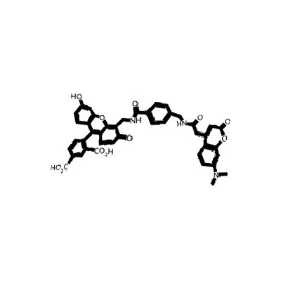 CN(C)c1ccc2c(CC(=O)NCc3ccc(C(=O)NCc4c5oc6cc(O)ccc6c(-c6ccc(C(=O)O)cc6C(=O)O)c-5ccc4=O)cc3)cc(=O)oc2c1